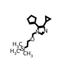 C[Si](C)(C)CCOCn1cnc(C2CC2)c1C1=CCCC1